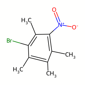 Cc1c(C)c(Br)c(C)c([N+](=O)[O-])c1C